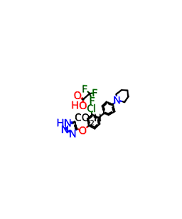 O=C(O)C(F)(F)F.O=C(O)c1[nH]nnc1Oc1ccc(-c2ccc(N3CCCCC3)cc2)c(Cl)c1